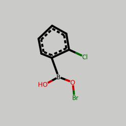 OB(OBr)c1ccccc1Cl